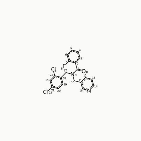 O=C(c1ccccc1F)N(Cc1cccnc1)Cc1ccc(Cl)cc1Cl